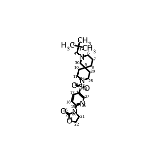 CC(C)(C)CN1CCCC2(CCN(S(=O)(=O)c3ccc(N4CCOC4=O)nc3)CC2)C1